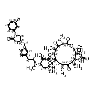 CC[C@H]1OC(=O)[C@H](C)C(=O)[C@H](C)[C@@H](O[C@@H]2O[C@H](C)C[C@H](N(C)CCc3cn(C[C@H]4CN(c5cccc(F)c5)C(=O)O4)nn3)[C@H]2O)[C@](C)(OC)C[C@@H](C)C(=O)[C@@H](C)[C@H]2NC(=O)O[C@@]21C